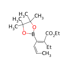 C/C=C\C(B1OC(C)(C)C(C)(C)O1)=C(/CC)C(=O)OCC